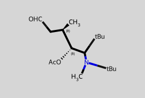 CC(=O)O[C@@H](C(N(C)C(C)(C)C)C(C)(C)C)[C@H](C)CC=O